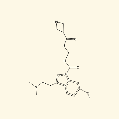 COc1ccc2c(CCN(C)C)cn(C(=O)OCOC(=O)C3CNC3)c2c1